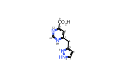 O=C(O)c1cc(Cc2cc[nH]n2)ncn1